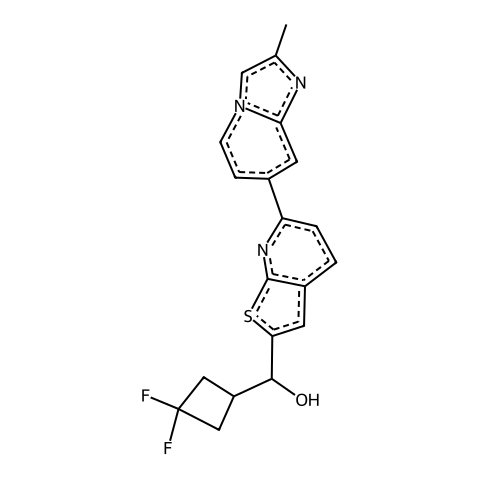 Cc1cn2ccc(-c3ccc4cc(C(O)C5CC(F)(F)C5)sc4n3)cc2n1